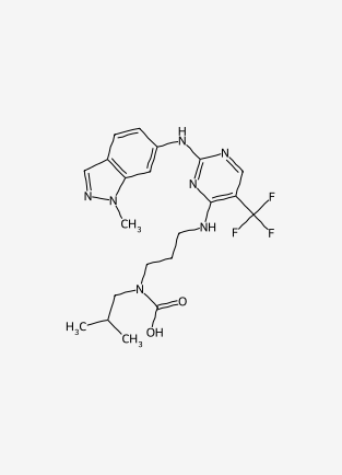 CC(C)CN(CCCNc1nc(Nc2ccc3cnn(C)c3c2)ncc1C(F)(F)F)C(=O)O